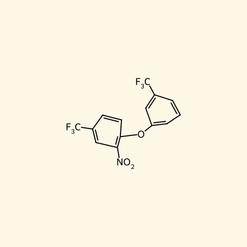 O=[N+]([O-])c1cc(C(F)(F)F)ccc1Oc1cccc(C(F)(F)F)c1